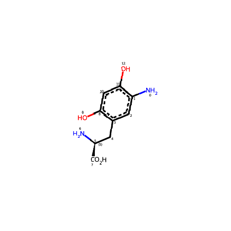 Nc1cc(C[C@H](N)C(=O)O)c(O)cc1O